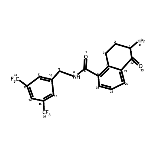 CCCC1CCc2c(C(=O)NCc3cc(C(F)(F)F)cc(C(F)(F)F)c3)cccc2C1=O